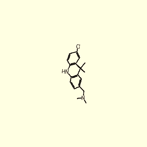 CN(C)Cc1ccc2c(c1)C(C)(C)c1cc(Cl)ccc1N2